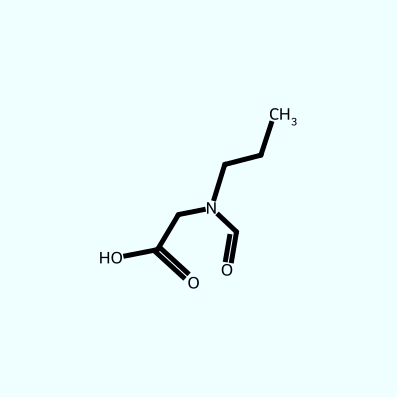 CCCN(C=O)CC(=O)O